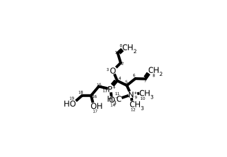 C=CCO/C(C(CC=C)[N+](C)(C)C)=[P+](/[O-])CC(O)CO